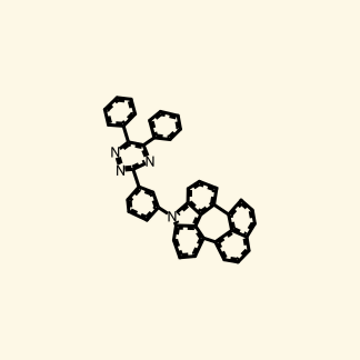 c1ccc(-c2nnc(-c3cccc(-n4c5cccc6c5c5c(cccc54)-c4cccc5cccc-6c45)c3)nc2-c2ccccc2)cc1